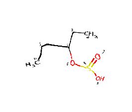 CCC(CC)OS(=O)O